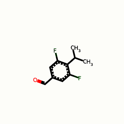 CC(C)c1c(F)cc(C=O)cc1F